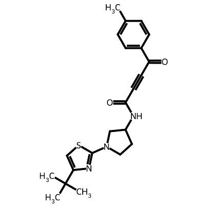 Cc1ccc(C(=O)C#CC(=O)NC2CCN(c3nc(C(C)(C)C)cs3)C2)cc1